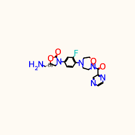 NC[C@H]1CN(c2ccc(N3CCON(C(=O)c4cnccn4)CC3)c(F)c2)C(=O)O1